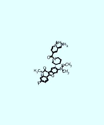 CNC(=O)c1c(-c2ccc(F)cc2)oc2cc(N(C)SC)c([C@H]3CCCN(C(=O)C4=C/C(=C/N)N(N)C=C4)C3)cc12